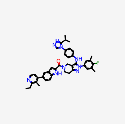 CCc1nccc(-c2ccc3[nH]c(C(=O)N4CCc5nn(-c6cc(C)c(F)c(C)c6)c(Nc6ccc(-n7cnnc7C(C)C)cc6)c5C4)cc3c2)c1C